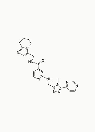 Cn1c(CNc2cc(C(=O)NCc3cnc4n3CCCC4)ccn2)nnc1-c1ccncn1